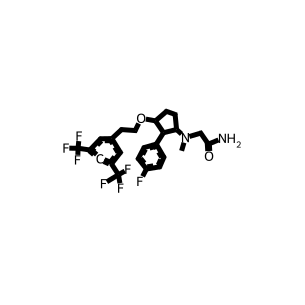 CN(CC(N)=O)C1CCC(OCCc2cc(C(F)(F)F)cc(C(F)(F)F)c2)C1c1ccc(F)cc1